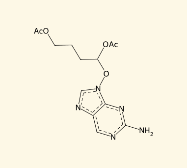 CC(=O)OCCCC(OC(C)=O)On1cnc2cnc(N)nc21